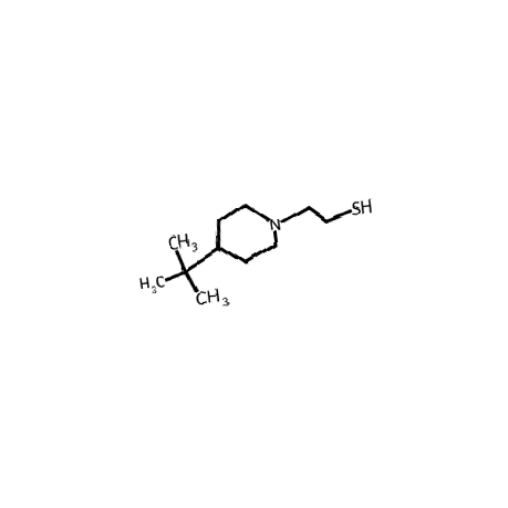 CC(C)(C)C1CCN(CCS)CC1